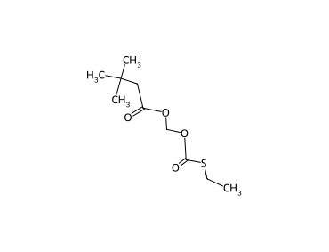 CCSC(=O)OCOC(=O)CC(C)(C)C